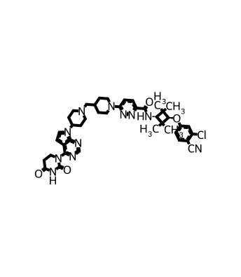 CC1(C)[C@H](NC(=O)c2ccc(N3CCC(CN4CCC(n5ccc6c(N7CCC(=O)NC7=O)ncnc65)CC4)CC3)nn2)C(C)(C)[C@H]1Oc1ccc(C#N)c(Cl)c1